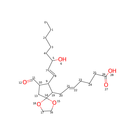 CCCCCC(O)/C=C/C1C(C=O)CC2(OCCO2)C1C/C=C/CCCC(=O)O